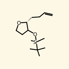 C=CCC[C@H]1OCCC1O[Si](C)(C)C(C)(C)C